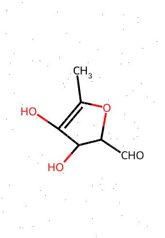 CC1=C(O)C(O)C(C=O)O1